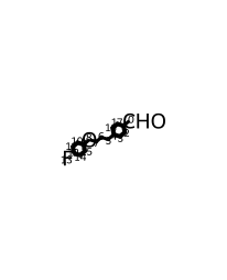 O=Cc1ccc(CCCOc2ccc(F)cc2)cc1